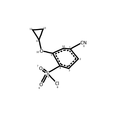 N#Cc1ccc(S(=O)(=O)Cl)c(OC2CC2)c1